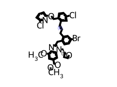 COC(=O)c1cc(OC)c2nc(Cc3ccc(Br)cc3C/C=C/c3cc(Cl)ccc3COc3cccc(Cl)n3)n(C[C@@H]3CCO3)c2c1